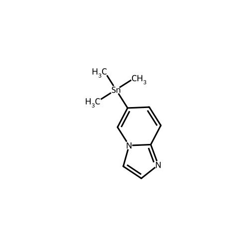 [CH3][Sn]([CH3])([CH3])[c]1ccc2nccn2c1